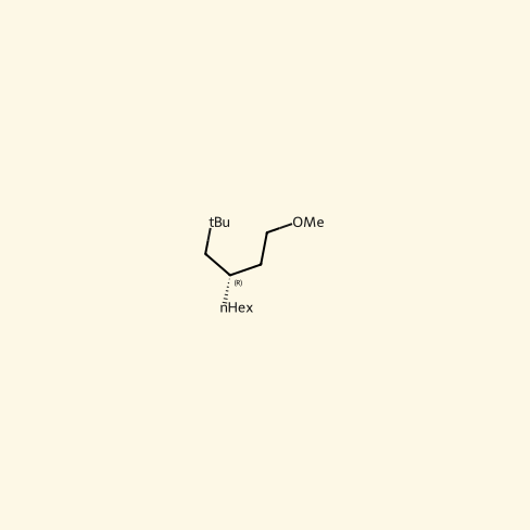 CCCCCC[C@@H](CCOC)CC(C)(C)C